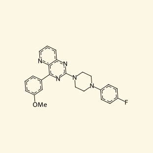 COc1cccc(-c2nc(N3CCN(c4ccc(F)cc4)CC3)nc3cccnc23)c1